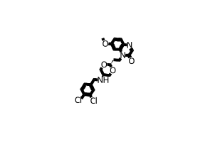 COc1ccc2ncc(=O)n(CC[C@H]3OC[C@H](NCc4ccc(Cl)c(Cl)c4)CO3)c2c1